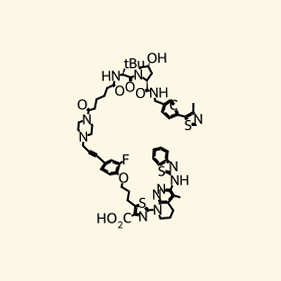 Cc1ncsc1-c1ccc(CNC(=O)[C@@H]2C[C@@H](O)CN2C(=O)[C@@H](NC(=O)CCCCC(=O)N2CCN(CC#Cc3ccc(OCCCc4sc(N5CCCc6c5nnc(Nc5nc7ccccc7s5)c6C)nc4C(=O)O)c(F)c3)CC2)C(C)(C)C)cc1